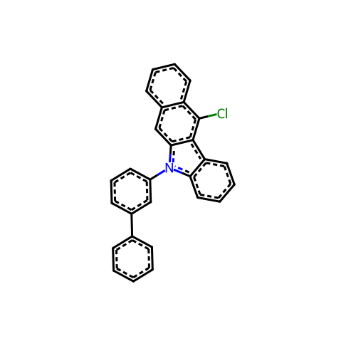 Clc1c2ccccc2cc2c1c1ccccc1n2-c1cccc(-c2ccccc2)c1